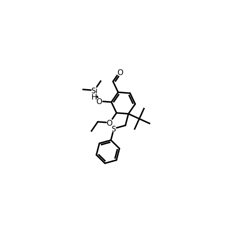 CCOC1C(O[SiH](C)C)=C(C=O)C=CC1(CSc1ccccc1)C(C)(C)C